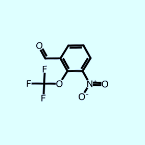 O=Cc1cccc([N+](=O)[O-])c1OC(F)(F)F